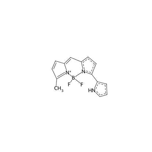 CC1=[N+]2C(=Cc3ccc(-c4ccc[nH]4)n3[B-]2(F)F)C=C1